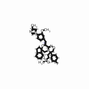 COc1cc(/C=C2\OC3(CCc4ccccc43)CN3C2=NOCC3(CCS(C)(=O)=O)c2ccc(F)cc2)ccc1-n1cnc(C)c1